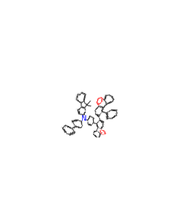 CC1(C)C2=CCCC=C2c2ccc(N(c3ccc(-c4ccccc4)cc3)c3ccc(-c4c(-c5ccc6oc7ccccc7c6c5-c5ccccc5)ccc5oc6ccccc6c45)cc3)cc21